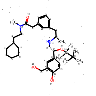 C[C@H](Cc1cccc(CC(=O)N(C)CCC2CCCCC2)c1)NC[C@H](O[Si](C)(C)C(C)(C)C)c1ccc(O)c(CO)c1